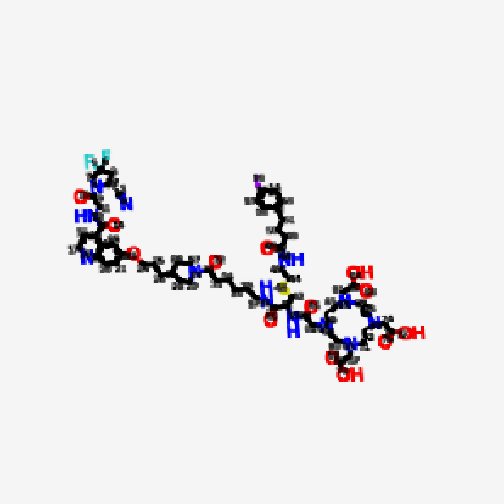 N#C[C@H]1CC(F)(F)CN1C(=O)CNC(=O)c1ccnc2ccc(OCCCC3CCN(C(=O)CCCCCNC(=O)C(CSCCNC(=O)CCCc4ccc(I)cc4)NC(=O)CN4CCN(CC(=O)O)CCN(CC(=O)O)CCN(CC(=O)O)CC4)CC3)cc12